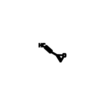 C#CC1=CO1